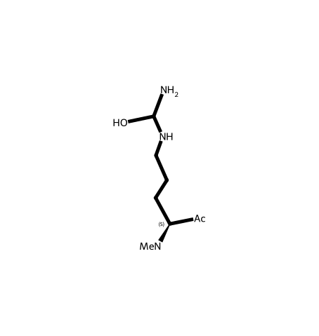 CN[C@@H](CCCNC(N)O)C(C)=O